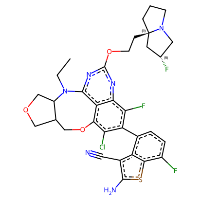 CCN1c2nc(OCC[C@@]34CCCN3C[C@H](F)C4)nc3c(F)c(-c4ccc(F)c5sc(N)c(C#N)c45)c(Cl)c(c23)OCC2COCC21